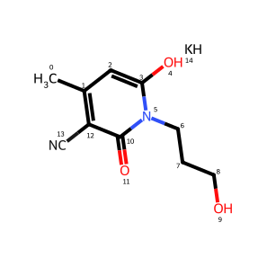 Cc1cc(O)n(CCCO)c(=O)c1C#N.[KH]